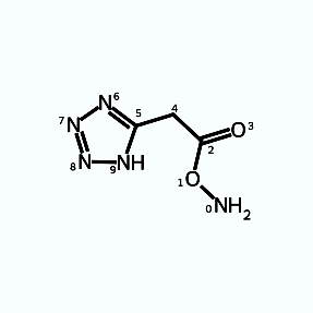 NOC(=O)Cc1nnn[nH]1